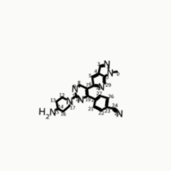 Cn1ncc2cc(-c3cnc(N4CCC(N)CC4)nc3-c3ccc(C#N)cc3)ncc21